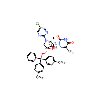 COc1ccc(C(OC[C@@]23CN(c4ncc(Cl)cn4)[C@@H]([C@H](n4cc(C)c(=O)[nH]c4=O)O2)[C@@H]3O)(c2ccccc2)c2ccc(OC)cc2)cc1